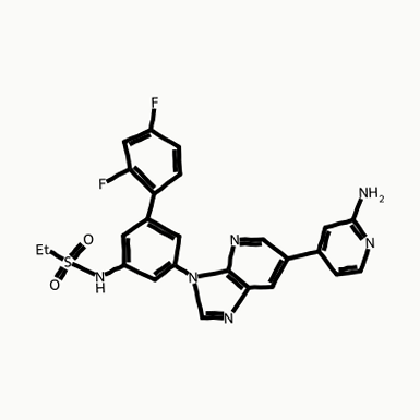 CCS(=O)(=O)Nc1cc(-c2ccc(F)cc2F)cc(-n2cnc3cc(-c4ccnc(N)c4)cnc32)c1